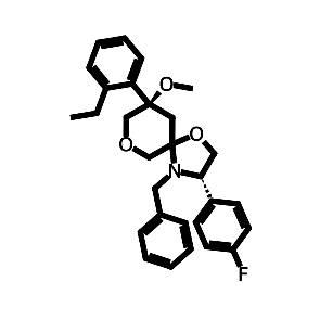 CCc1ccccc1[C@@]1(OC)COCC2(C1)OC[C@H](c1ccc(F)cc1)N2Cc1ccccc1